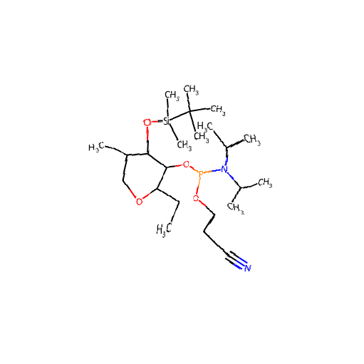 CCC1OCC(C)C(O[Si](C)(C)C(C)(C)C)C1OP(OCCC#N)N(C(C)C)C(C)C